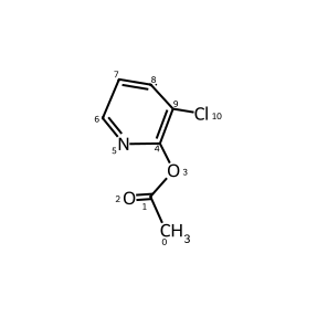 CC(=O)Oc1ncc[c]c1Cl